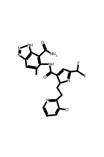 Cc1cc2nn[nH]c2c(C(N)=O)c1NC(=O)C1=CC(C(F)F)=NC1CCc1ncccc1Cl